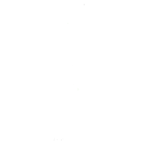 CC/C=C\Cc1ccc(-c2ccc(-c3ccc(C4=CCC(C5CCC(CCCCC)CC5)CC4)c(F)c3)cc2)c(F)c1F